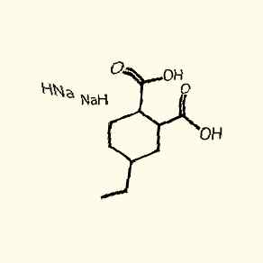 CCC1CCC(C(=O)O)C(C(=O)O)C1.[NaH].[NaH]